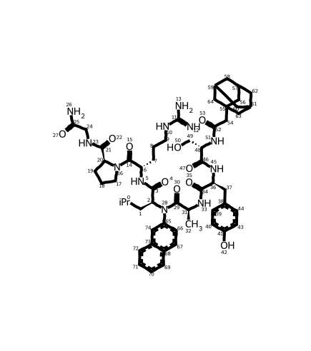 CC(C)C[C@@H](C(=O)N[C@@H](CCCNC(=N)N)C(=O)N1CCC[C@H]1C(=O)NCC(N)=O)N(C(=O)[C@H](C)NC(=O)[C@H](Cc1ccc(O)cc1)NC(=O)[C@H](CO)NC(=O)CC12CC3CC(CC(C3)C1)C2)c1ccc2ccccc2c1